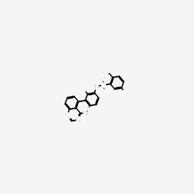 Nc1ncnc2cccc(-c3c(F)ccc(NS(=O)(=O)c4cc(Cl)ccc4Cl)c3F)c12